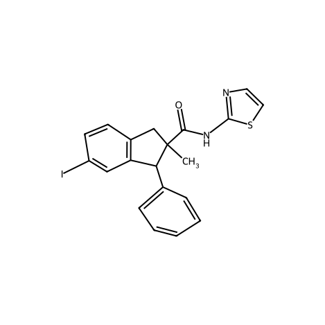 CC1(C(=O)Nc2nccs2)Cc2ccc(I)cc2C1c1ccccc1